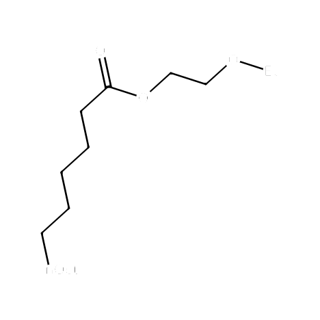 CCCCCCCCCCCCCC(=O)OCCOCC